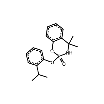 CC(C)c1ccccc1OP1(=O)NC(C)(C)c2ccccc2O1